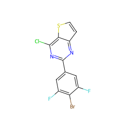 Fc1cc(-c2nc(Cl)c3sccc3n2)cc(F)c1Br